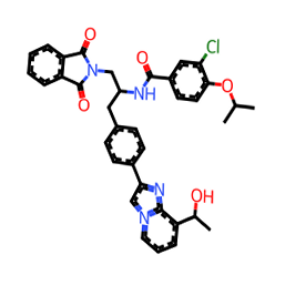 CC(C)Oc1ccc(C(=O)NC(Cc2ccc(-c3cn4cccc(C(C)O)c4n3)cc2)CN2C(=O)c3ccccc3C2=O)cc1Cl